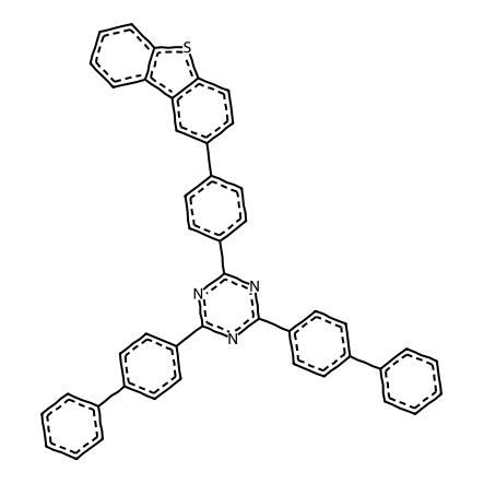 c1ccc(-c2ccc(-c3nc(-c4ccc(-c5ccccc5)cc4)nc(-c4ccc(-c5ccc6sc7ccccc7c6c5)cc4)n3)cc2)cc1